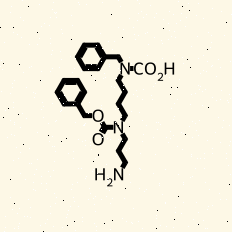 NCCCN(CCCCN(Cc1ccccc1)C(=O)O)C(=O)OCc1ccccc1